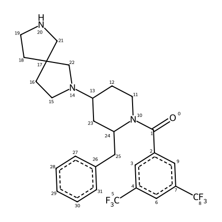 O=C(c1cc(C(F)(F)F)cc(C(F)(F)F)c1)N1CCC(N2CCC3(CCNC3)C2)CC1Cc1ccccc1